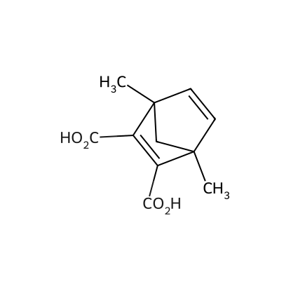 CC12C=CC(C)(C1)C(C(=O)O)=C2C(=O)O